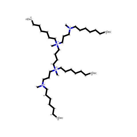 CCCCCCCCCCCCCCCCN(C)CCC[N+](C)(CCCCCCCCCCCCCCCC)CCCC[N+](C)(CCCCCCCCCCCCCCCC)CCCN(C)CCCCCCCCCCCCCCCC